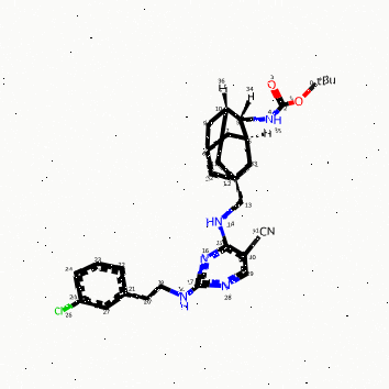 CC(C)(C)OC(=O)N[C@@H]1[C@@H]2CC3C[C@H]1C[C@@](CNc1nc(NCCc4cccc(Cl)c4)ncc1C#N)(C3)C2